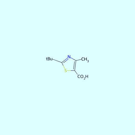 Cc1nc(C(C)(C)C)sc1C(=O)O